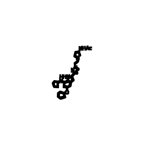 CC(=O)N[C@@H]1CCN(CC[C@H]2CSC(c3cc4cc(Oc5ccccc5)cc(NC5CCCC5)c4[nH]3)=N2)C1